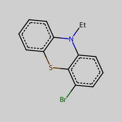 CCN1c2ccccc2Sc2c(Br)cccc21